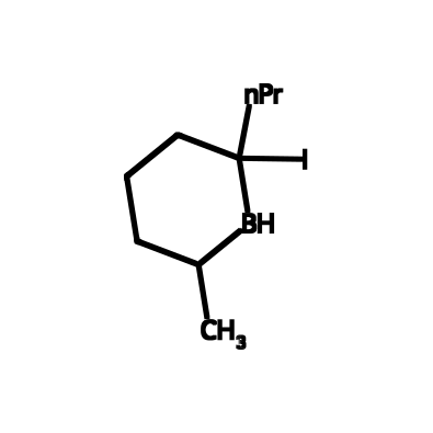 CCCC1(I)BC(C)CCC1